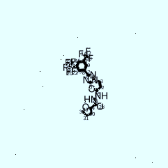 O=C(/C=C\n1cnc(-c2cc(C(F)(F)F)cc(S(F)(F)(F)(F)F)c2)n1)NNC(=O)C1CCCO1